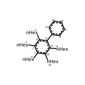 CCCCCCc1c(CCCCCC)c(CCCCCC)c(-c2ccccc2)c(CCCCCC)c1CCCCCC